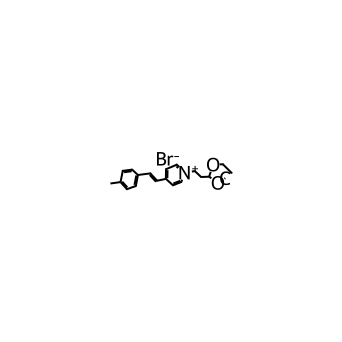 Cc1ccc(/C=C/c2cc[n+](CCC3OCCCO3)cc2)cc1.[Br-]